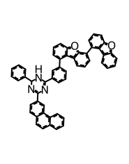 c1ccc(C2N=C(c3ccc4ccc5ccccc5c4c3)N=C(c3cccc(-c4cccc5oc6c(-c7cccc8oc9ccccc9c78)cccc6c45)c3)N2)cc1